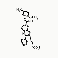 Cc1ccc([C@@H](C)NC(=O)c2ccc3nc(-c4ccccc4)c(CCCCC(=O)O)nc3c2)cc1